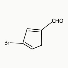 O=CC1=CC(Br)=CC1